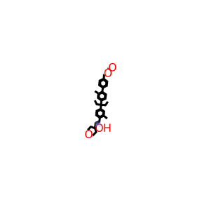 CCC(CC)(c1ccc(/C=C/C2(O)CCOCC2)c(C)c1)c1ccc(-c2ccc(COC=O)cc2)c(C)c1